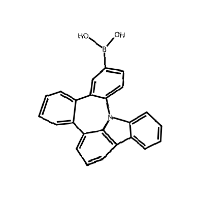 OB(O)c1ccc2c(c1)-c1ccccc1-c1cccc3c4ccccc4n-2c13